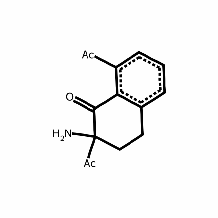 CC(=O)c1cccc2c1C(=O)C(N)(C(C)=O)CC2